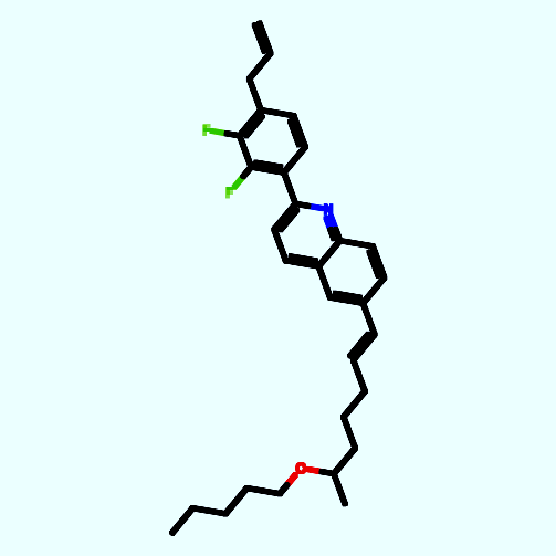 C=CCc1ccc(-c2ccc3cc(C=CCCCC(C)OCCCCC)ccc3n2)c(F)c1F